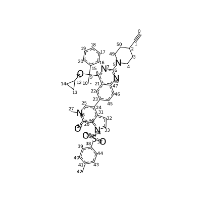 C#CC1CCN(c2nc(C([CH2])(OC3CC3)c3ccccc3)c3cc(-c4cn(C)c(=O)c5c4ccn5S(=O)(=O)c4ccc(C)cc4)ccc3n2)CC1